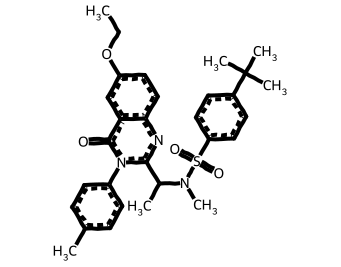 CCOc1ccc2nc(C(C)N(C)S(=O)(=O)c3ccc(C(C)(C)C)cc3)n(-c3ccc(C)cc3)c(=O)c2c1